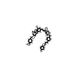 COc1ccc(COc2ccc(Oc3c(C)cc(C=CC(=O)N4CCN(Cc5ccc(C=CCOc6ccc(C)cc6)cc5)CC4)cc3C)nc2)cc1